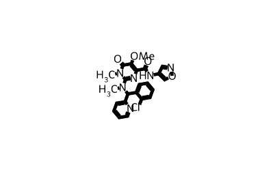 COc1c(C(=O)Nc2cnoc2)nc(N(C)C(c2ccccn2)c2ccccc2Cl)n(C)c1=O